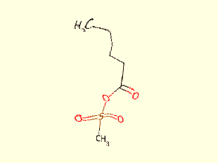 CCCCC(=O)OS(C)(=O)=O